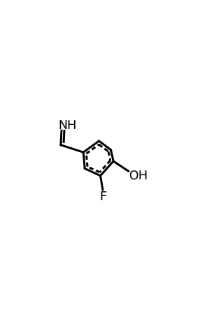 N=Cc1ccc(O)c(F)c1